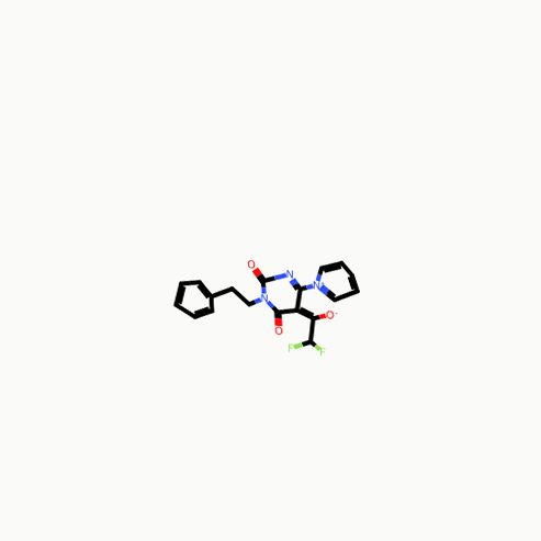 O=C1N=C([n+]2ccccc2)/C(=C(\[O-])C(F)F)C(=O)N1CCc1ccccc1